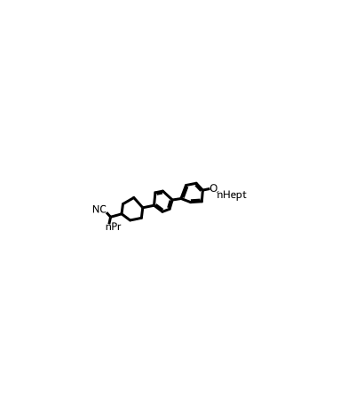 CCCCCCCOc1ccc(-c2ccc(C3CCC(C(C#N)CCC)CC3)cc2)cc1